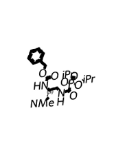 CNC[C@@H](CNC(=O)P(=O)(OC(C)C)OC(C)C)NC(=O)OCc1ccccc1